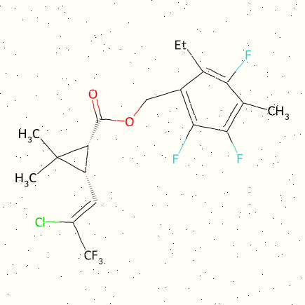 CCc1c(F)c(C)c(F)c(F)c1COC(=O)[C@@H]1[C@H](/C=C(\Cl)C(F)(F)F)C1(C)C